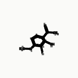 COc1ccc(C(C)=O)c(O)c1F